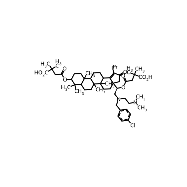 CC(C)C1=C2C3CCC4C5(C)CCC(OC(=O)CC(C)(C)C(=O)O)C(C)(C)C5CCC4(C)C3(C)CCC2([C@H](CN(CCN(C)C)Cc2ccc(Cl)cc2)OC(=O)CC(C)(C)C(=O)O)CC1=O